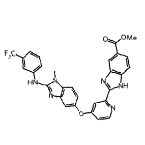 COC(=O)c1ccc2[nH]c(-c3cc(Oc4ccc5c(c4)nc(Nc4cccc(C(F)(F)F)c4)n5C)ccn3)nc2c1